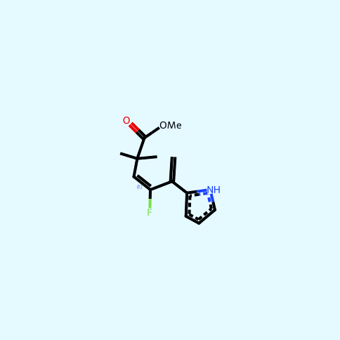 C=C(/C(F)=C\C(C)(C)C(=O)OC)c1ccc[nH]1